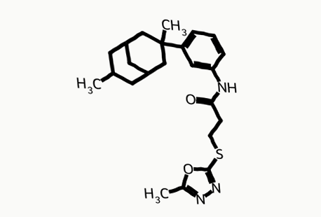 Cc1nnc(SCCC(=O)Nc2cccc(C3(C)CC4CC(C)CC(C4)C3)c2)o1